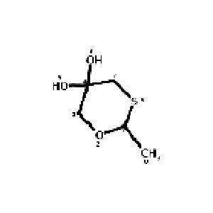 CC1OCC(O)(O)CS1